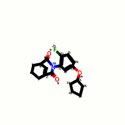 O=C1C2=CC(CCC2)C(=O)N1c1cc(OC2CCCC2)ccc1F